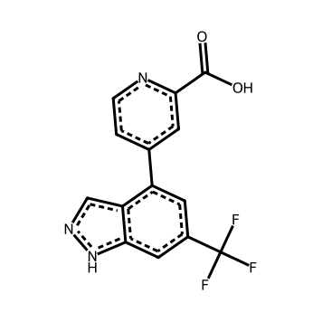 O=C(O)c1cc(-c2cc(C(F)(F)F)cc3[nH]ncc23)ccn1